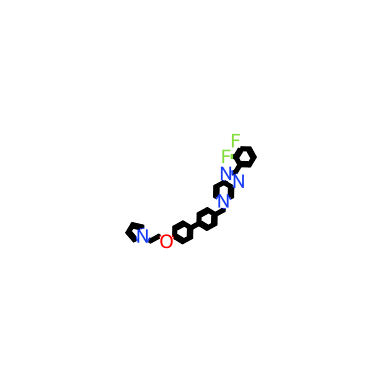 Fc1cccc(-c2nc3ccn(Cc4ccc(-c5ccc(OCCn6cccc6)cc5)cc4)cc-3n2)c1F